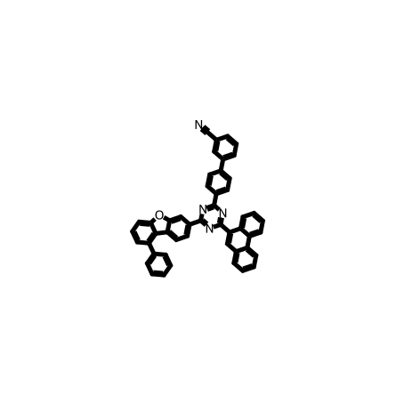 N#Cc1cccc(-c2ccc(-c3nc(-c4ccc5c(c4)oc4cccc(-c6ccccc6)c45)nc(-c4cc5ccccc5c5ccccc45)n3)cc2)c1